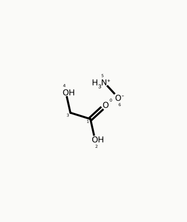 O=C(O)CO.[NH3+][O-]